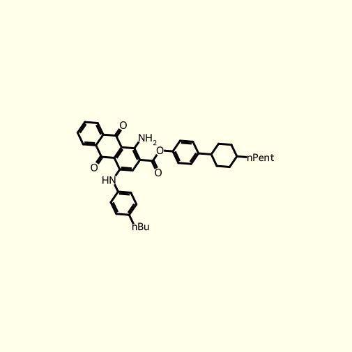 CCCCCC1CCC(c2ccc(OC(=O)c3cc(Nc4ccc(CCCC)cc4)c4c(c3N)C(=O)c3ccccc3C4=O)cc2)CC1